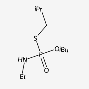 CCNP(=O)(OCC(C)C)SCC(C)C